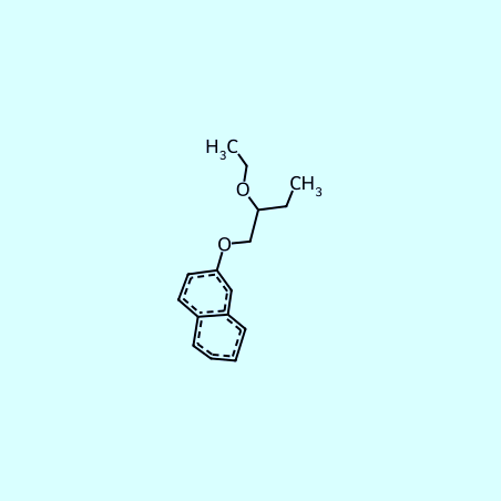 CCOC(CC)COc1ccc2ccccc2c1